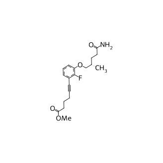 COC(=O)CCCC#Cc1cccc(OC[C@@H](C)CCC(N)=O)c1F